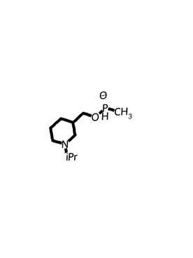 CC(C)N1CCCC(CO[PH](C)=O)C1